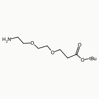 CC(C)(C)OC(=O)CCOCCOCCN